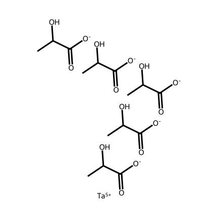 CC(O)C(=O)[O-].CC(O)C(=O)[O-].CC(O)C(=O)[O-].CC(O)C(=O)[O-].CC(O)C(=O)[O-].[Ta+5]